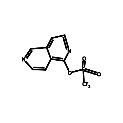 O=S(=O)(Oc1nccc2cnccc12)C(F)(F)F